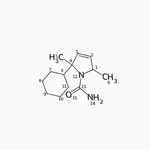 CC1C=CC(C)(C2CCCCC2)N1C(N)=O